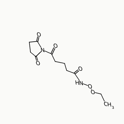 CCOONC(=O)CCCC(=O)N1C(=O)CCC1=O